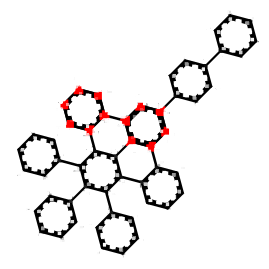 c1ccc(-c2ccc(-c3nc(-c4ccccc4)nc(-c4ccccc4-c4c(-c5ccccc5)c(-c5ccccc5)c(-c5ccccc5)c(-c5ccccc5)c4-c4ccccc4)n3)cc2)cc1